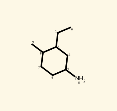 CCC1CC(N)CCC1C